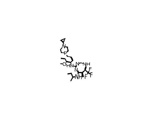 C=C/C(OC)=C(\C=C/CP1CCN(C2CC2)CC1)NC1=N/CN/C=C(/C(F)(F)F)C(=C)/C(NC(C)CC)=N\1